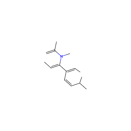 C=C(C)N(C)C(=C\C)/C(/C=C\C(C)C)=C/C